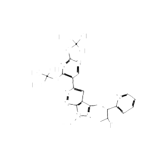 Cn1nc(O[C@@H](c2ccccn2)C(F)F)c2cc(-c3cnc(OC(C)(C)C)nc3OC(C)(C)C)nnc21